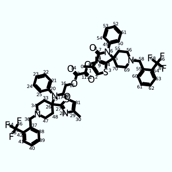 Cc1csc(C2(N(C(=O)COC(=O)C(=O)OCC(=O)N(c3ccccc3)C3(c4nc(C)cs4)CCN(Cc4ccccc4C(F)(F)F)CC3)c3ccccc3)CCN(Cc3ccccc3C(F)(F)F)CC2)n1